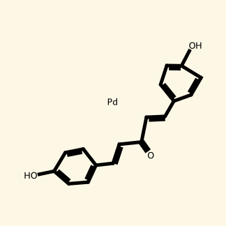 O=C(C=Cc1ccc(O)cc1)C=Cc1ccc(O)cc1.[Pd]